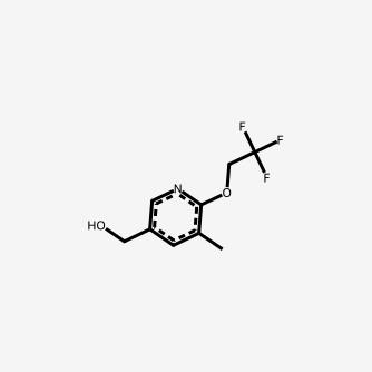 Cc1cc(CO)cnc1OCC(F)(F)F